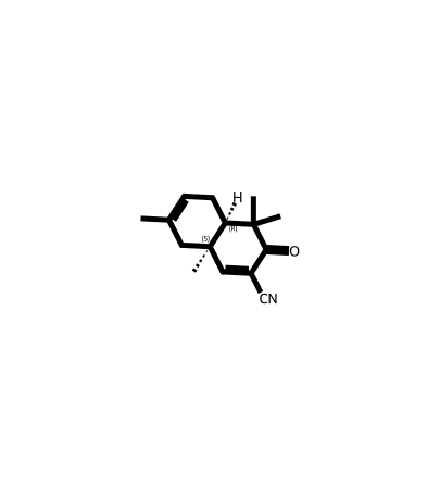 CC1=CC[C@H]2C(C)(C)C(=O)C(C#N)=C[C@@]2(C)C1